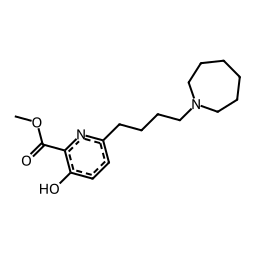 COC(=O)c1nc(CCCCN2CCCCCC2)ccc1O